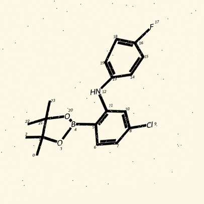 CC1(C)OB(c2ccc(Cl)cc2Nc2ccc(F)cc2)OC1(C)C